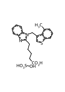 Cc1cccc2scc(Cn3c(CCCCC(=O)O)nc4ccccc43)c12.O=S(=O)(O)O